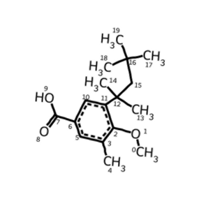 COc1c(C)cc(C(=O)O)cc1C(C)(C)CC(C)(C)C